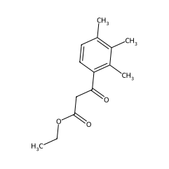 CCOC(=O)CC(=O)c1ccc(C)c(C)c1C